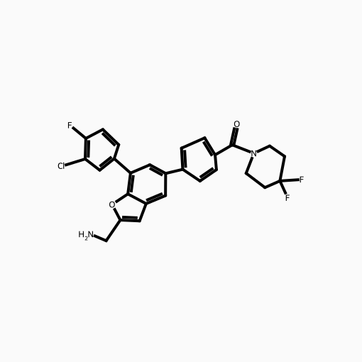 NCc1cc2cc(-c3ccc(C(=O)N4CCC(F)(F)CC4)cc3)cc(-c3ccc(F)c(Cl)c3)c2o1